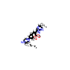 Cc1cnc2nc(-c3cc4ccc(N5CCN[C@H](C)C5)cc4oc3=O)cn2c1